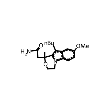 CCCCc1c2n(c3ccc(OC)cc13)CCOC2(C)CC(N)=O